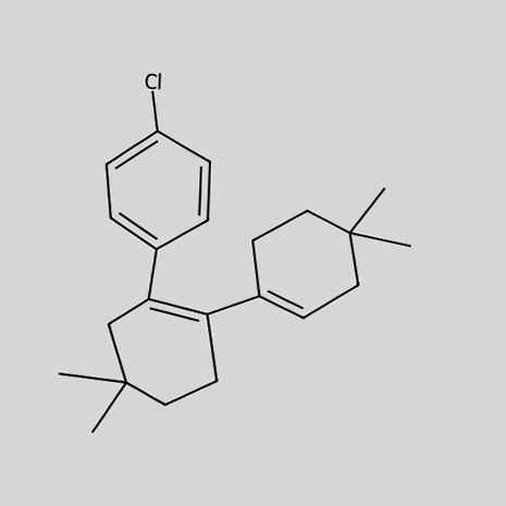 CC1(C)CC=C(C2=C(c3ccc(Cl)cc3)CC(C)(C)CC2)CC1